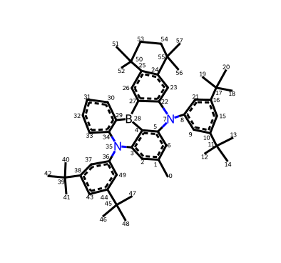 Cc1cc2c3c(c1)N(c1cc(C(C)(C)C)cc(C(C)(C)C)c1)c1cc4c(cc1B3c1ccccc1N2c1cc(C(C)(C)C)cc(C(C)(C)C)c1)C(C)(C)CCC4(C)C